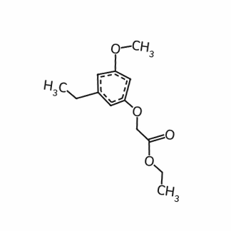 CCOC(=O)COc1cc(CC)cc(OC)c1